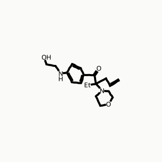 C=CCC(CC)(C(=O)c1ccc(NCCO)cc1)N1CCOCC1